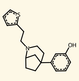 Oc1cccc(C23CCC(C2)N(CCc2cccs2)CC3)c1